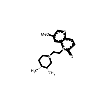 COc1cnc2ccc(=O)n(CCN3CC[C@@H](C)[C@@H](C)C3)c2c1